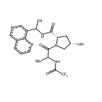 CCC[C@H]1C[C@@H](C(=O)NC(C#N)c2cncc3cccnc23)N(C(=O)C(NC(=O)C(F)(F)F)C(C)(C)C)C1